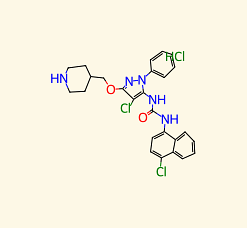 Cl.O=C(Nc1ccc(Cl)c2ccccc12)Nc1c(Cl)c(OCC2CCNCC2)nn1-c1ccccc1